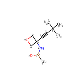 CC(C)(C)[S+]([O-])NC1(C#C[Si](C)(C)C)COC1